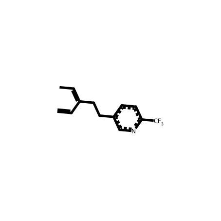 C=C/C(=C\C)CCc1ccc(C(F)(F)F)nc1